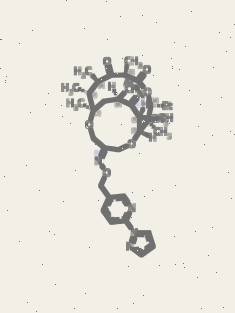 CC[C@H]1OC(=O)[C@H](C)C(=O)[C@H](C)[C@@H](C)[C@@]2(C)C[C@@H](C)/C(=N\C(C)=O)[C@H](C)[C@@H](OC/C(=N\OCc3ccc(-n4cccn4)nc3)CO2)[C@]1(C)O